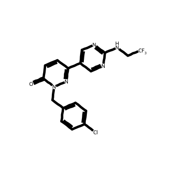 O=c1ccc(-c2cnc(NCC(F)(F)F)nc2)nn1Cc1ccc(Cl)cc1